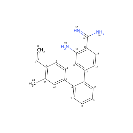 C=Cc1ccc(-c2ccccc2-c2ccc(C(=N)N)c(N)c2)cc1C